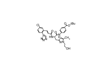 Cc1cc(CC(NC(=O)/C=C/c2cc(Cl)ccc2-n2cnnn2)C(=O)Nc2ccc(C(=O)OC(C)(C)C)cc2)nn1CCO